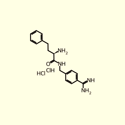 Cl.Cl.N=C(N)c1ccc(CNC(=O)[C@H](N)CCc2ccccc2)cc1